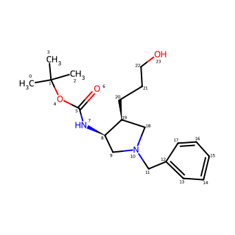 CC(C)(C)OC(=O)N[C@@H]1CN(Cc2ccccc2)C[C@@H]1CCCO